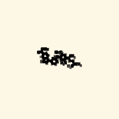 COC(=O)c1ccc2c(-c3ccnc(Nc4cc(N)c(N(C)CCN(C)C)cc4OC)n3)c[nH]c2c1